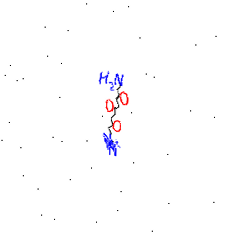 [N-]=[N+]=NCCC(=O)CCC(=O)CCC(=O)CCN